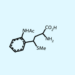 CSC(CC(N)C(=O)O)c1ccccc1NC(C)=O